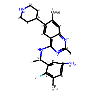 COc1cc2nc(C)nc(N[C@H](C)c3cc(N)cc(C(F)(F)F)c3F)c2cc1C1CCNCC1